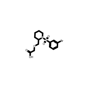 O=C(O)COCC1CCCCN1S(=O)(=O)c1cccc(Br)c1